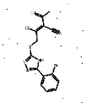 CC(=N)/C(C#N)=C(\O)CSc1nnc(-c2ccccc2Br)[nH]1